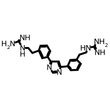 N=C(N)NCCc1cccc(-c2cc(-c3cccc(CCNC(=N)N)c3)ncn2)c1